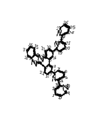 c1ccc(-c2cccc(-c3ccc4c(c3)c3cc(-c5cccc(-c6ccccn6)n5)ccc3n3c5ccccc5nc43)n2)nc1